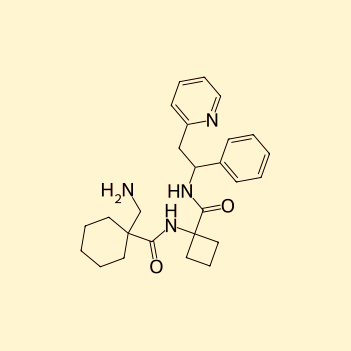 NCC1(C(=O)NC2(C(=O)NC(Cc3ccccn3)c3ccccc3)CCC2)CCCCC1